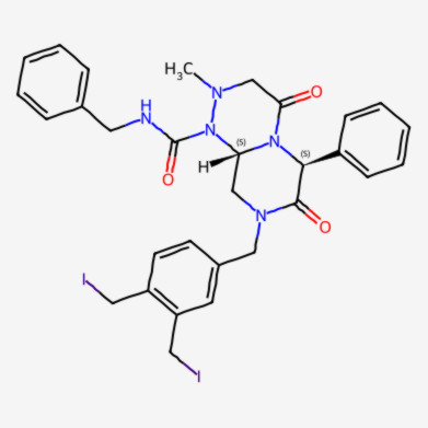 CN1CC(=O)N2[C@@H](c3ccccc3)C(=O)N(Cc3ccc(CI)c(CI)c3)C[C@@H]2N1C(=O)NCc1ccccc1